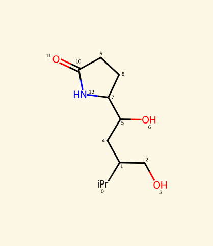 CC(C)C(CO)CC(O)C1CCC(=O)N1